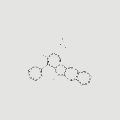 CCn1c2nc3ccccc3nc2[n+]2ccc(C)c(-c3ccccc3)c12.[O-][Cl+3]([O-])([O-])[O-]